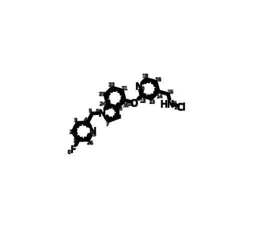 Fc1ccc(Cn2ccc3c(Oc4cc(CNCl)ccn4)cccc32)nc1